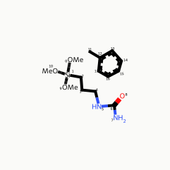 CO[Si](CCCNC(N)=O)(OC)OC.Cc1ccccc1